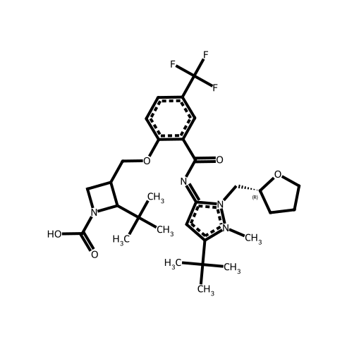 Cn1c(C(C)(C)C)cc(=NC(=O)c2cc(C(F)(F)F)ccc2OCC2CN(C(=O)O)C2C(C)(C)C)n1C[C@H]1CCCO1